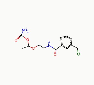 CC(OCCNC(=O)c1cccc(CCl)c1)OC(N)=O